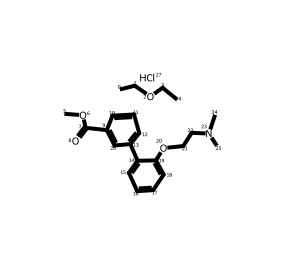 CCOCC.COC(=O)c1cccc(-c2ccccc2OCCN(C)C)c1.Cl